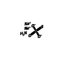 N.O=S([O-])([O-])=S.[Na+].[Na+]